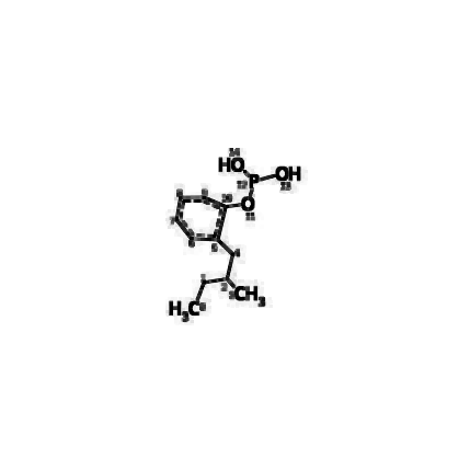 CCC(C)Cc1ccccc1OP(O)O